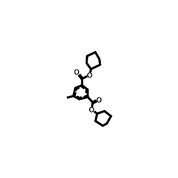 Cc1cc(C(=O)OC2CCCCC2)cc(C(=O)OC2CCCCC2)c1